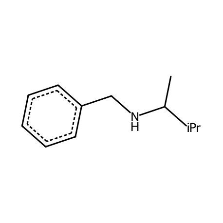 CC(C)C(C)NCc1ccccc1